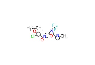 Cc1cccc(C2CN(CC(F)(F)F)CC3(CCN(C(=O)c4ccc(OC(C)C)c(Cl)c4)CC3)O2)n1